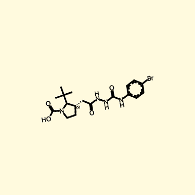 CC(C)(C)C1[C@H](CC(=O)NNC(=O)Nc2ccc(Br)cc2)CCN1C(=O)O